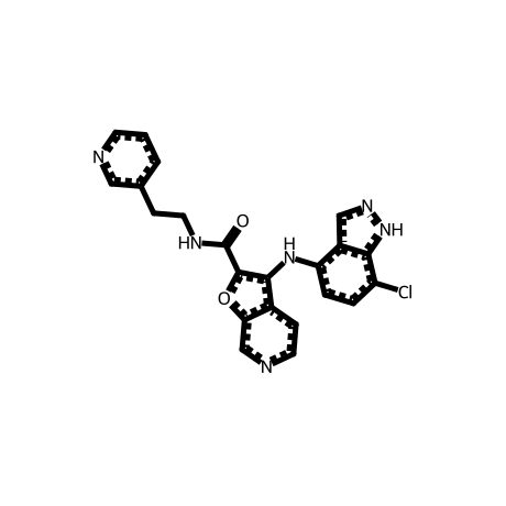 O=C(NCCc1cccnc1)c1oc2cnccc2c1Nc1ccc(Cl)c2[nH]ncc12